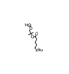 CC(C)(C)CCCCC(=O)OC(C)(C)COO